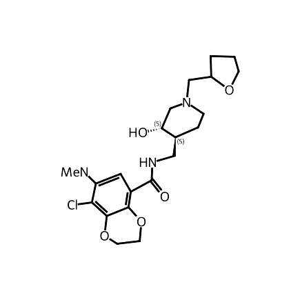 CNc1cc(C(=O)NC[C@@H]2CCN(CC3CCCO3)C[C@H]2O)c2c(c1Cl)OCCO2